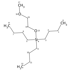 CCCC[Si](CCCC)(CCCC)OCCOC